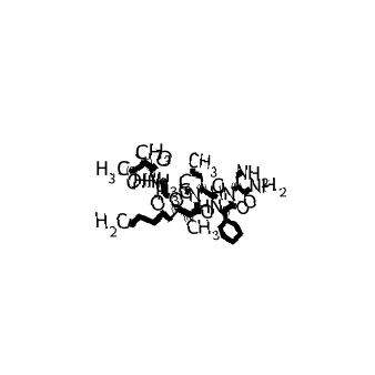 C=CCCCC[C@@H](OC(=O)CNC(=O)[C@@H](C)[C@H](C)O)[C@@H](C)C(=O)N(C)[C@@H](CC(C)C)C(=O)N[C@H](C(=O)N[C@@H](CN)C(N)=O)C1CCCCC1